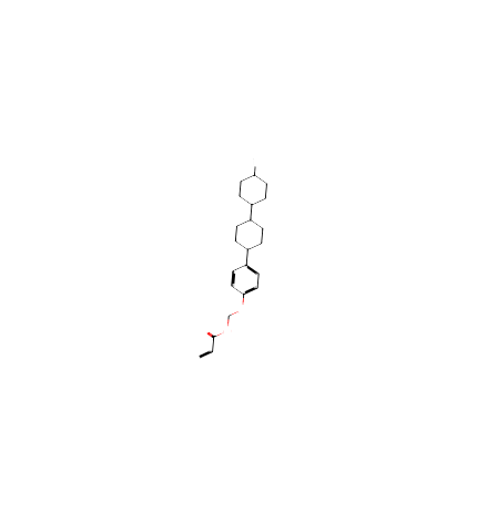 C=CC(=O)OCOc1ccc(C2CCC(C3CCC(CCCCC)CC3)CC2)cc1